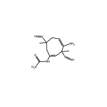 CC1(N=N)C/C=C(/N)C(C)(N=N)/C=C(/NC(N)=O)C1